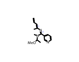 C=C/C=C(C)/N=C(/c1cccnc1)N(C)C(C)OC